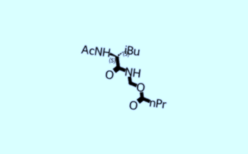 CCCC(=O)OCNC(=O)[C@@H](NC(C)=O)[C@@H](C)CC